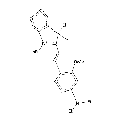 CCC[N+]1=C(/C=C/c2ccc(N(CC)CC)cc2OC)C(C)(CC)c2ccccc21